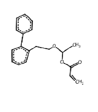 C=CC(=O)OC(C)OCCc1ccccc1-c1ccccc1